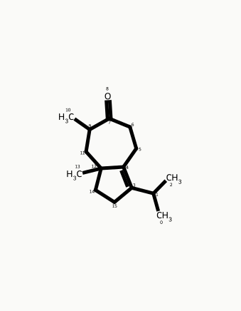 CC(C)C1=C2CCC(=O)C(C)CC2(C)CC1